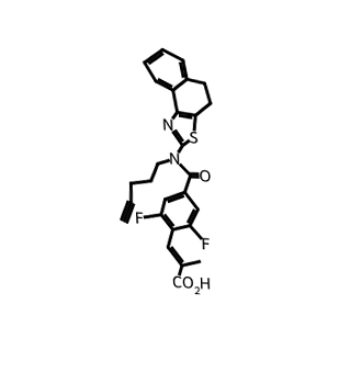 C#CCCCN(C(=O)c1cc(F)c(/C=C(\C)C(=O)O)c(F)c1)c1nc2c(s1)CCc1ccccc1-2